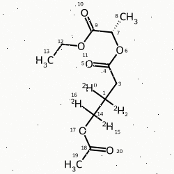 [2H]C([2H])(CC(=O)O[C@@H](C)C(=O)OCC)C([2H])([2H])OC(C)=O